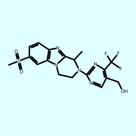 CC1c2nc3ccc(S(C)(=O)=O)cc3n2CCN1c1ncc(CO)c(C(F)(F)F)n1